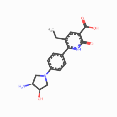 CCc1cc(C(=O)O)c(=O)[nH]c1-c1ccc(N2C[C@@H](O)[C@@H](N)C2)cc1